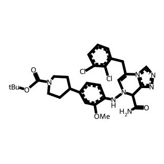 COc1cc(C2CCN(C(=O)OC(C)(C)C)CC2)ccc1NN1C=C(Cc2cccc(Cl)c2Cl)n2cnnc2C1C(N)=O